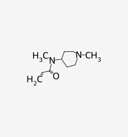 C=CC(=O)N(C)C1CCN(C)CC1